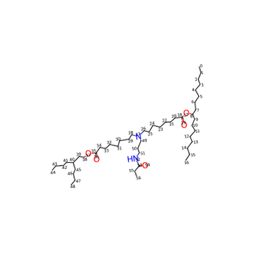 CCCCCCCCC(CCCCCCCC)OC(=O)CCCCCCCN(CCCCCCCC(=O)OCCC(CCCC)CCCC)CCCNC(=O)CC